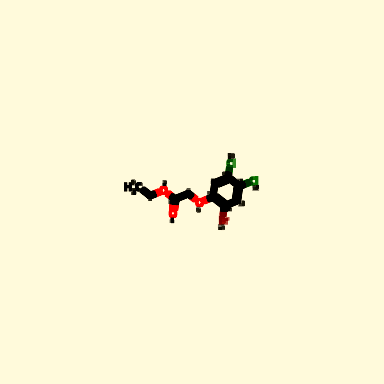 CCOC(=O)COc1cc(Cl)c(Cl)cc1Br